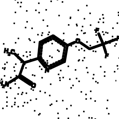 CC(C(N)=O)c1ccc(OCC(F)(F)F)cn1